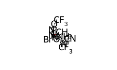 CC(NC(=O)c1cc(C(F)(F)F)nc(C2(C#N)CC2)c1)c1nc(Br)nn1-c1ccc(OCC(F)(F)F)cn1